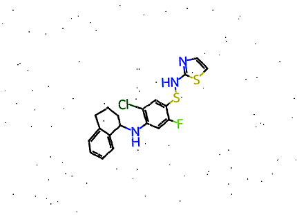 Fc1cc(NC2CCCc3ccccc32)c(Cl)cc1SNc1nccs1